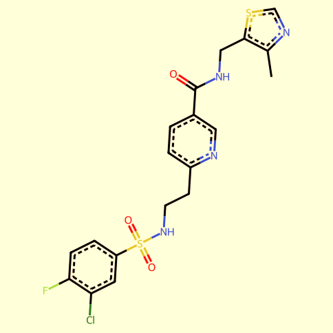 Cc1ncsc1CNC(=O)c1ccc(CCNS(=O)(=O)c2ccc(F)c(Cl)c2)nc1